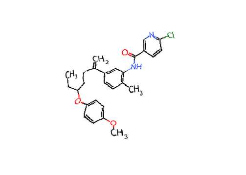 C=C(CCC(CC)Oc1ccc(OC)cc1)c1ccc(C)c(NC(=O)c2ccc(Cl)nc2)c1